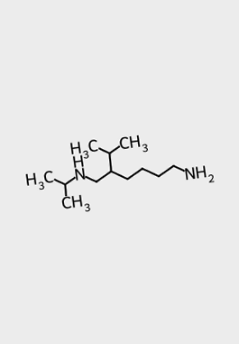 CC(C)NCC(CCCCN)C(C)C